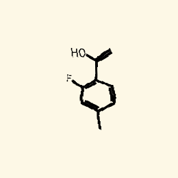 C=C(O)c1ccc(C)cc1F